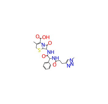 CC1=C(C(=O)O)N2C(=O)C(NC(=O)C(NC(=O)CCc3cn(C)nn3)c3ccccc3)C2SC1